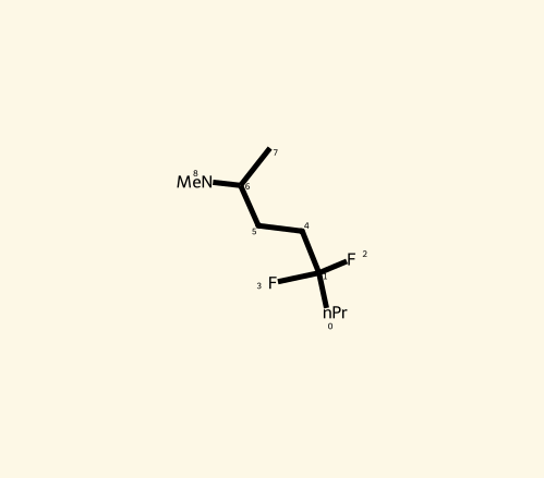 CCCC(F)(F)CCC(C)NC